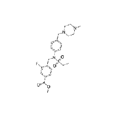 CCS(=O)(=O)N(Cc1ccc(C(=O)OC)cc1F)c1ccc(CN2CCN(C)CC2)cc1